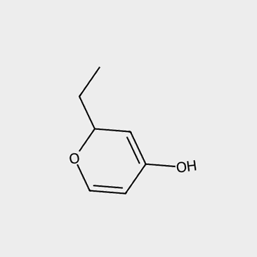 CCC1C=C(O)C=CO1